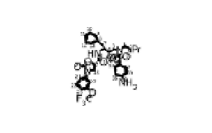 CC(C)CN(C[C@@H](N=O)[C@H](Cc1ccccc1)NC(=O)[C@@H]1CN(c2cccc(OC(F)(F)F)c2)C(=O)O1)S(=O)(=O)c1ccc(N)cc1